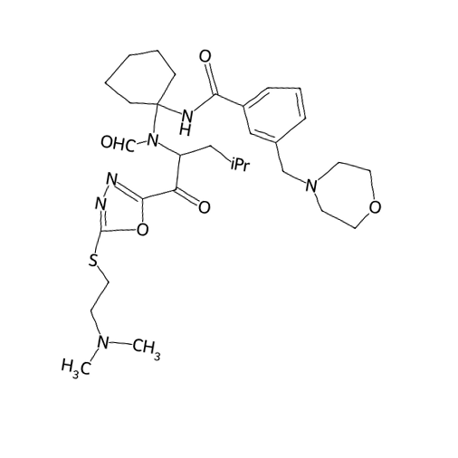 CC(C)CC(C(=O)c1nnc(SCCN(C)C)o1)N(C=O)C1(NC(=O)c2cccc(CN3CCOCC3)c2)CCCCC1